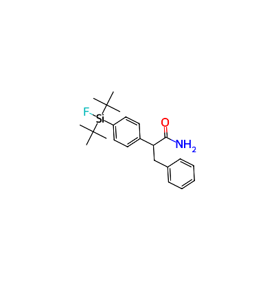 CC(C)(C)[Si](F)(c1ccc(C(Cc2ccccc2)C(N)=O)cc1)C(C)(C)C